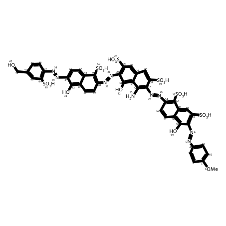 COc1ccc(N=Nc2c(S(=O)(=O)O)cc3c(S(=O)(=O)O)c(N=Nc4c(S(=O)(=O)O)cc5cc(S(=O)(=O)O)c(N=Nc6ccc7c(O)c(N=Nc8ccc(CO)cc8S(=O)(=O)O)ccc7c6S(=O)(=O)O)c(O)c5c4N)ccc3c2O)cc1